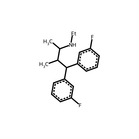 CCNC(C)C(C)C(c1cccc(F)c1)c1cccc(F)c1